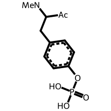 CNC(Cc1ccc(OP(=O)(O)O)cc1)C(C)=O